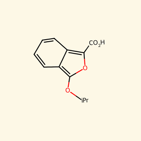 CC(C)Oc1oc(C(=O)O)c2ccccc12